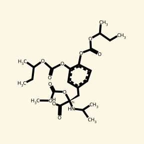 CCC(C)OC(=O)Oc1ccc(C[C@](NC(C)C)(OC(=O)OC)C(=O)O)cc1OC(=O)OC(C)CC